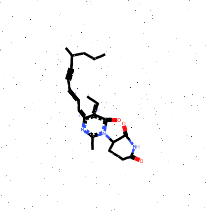 C/C=c1/c(=O)n(C2CCC(=O)NC2=O)c(C)n/c1=C/C=C/C#CC(C)CCC